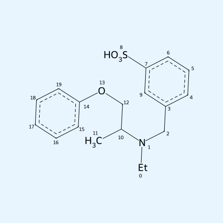 CCN(Cc1cccc(S(=O)(=O)O)c1)C(C)COc1ccccc1